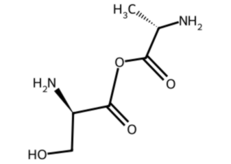 C[C@H](N)C(=O)OC(=O)[C@H](N)CO